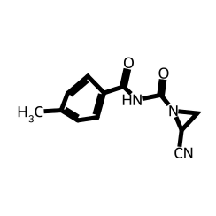 Cc1ccc(C(=O)NC(=O)N2CC2C#N)cc1